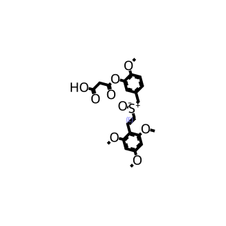 COc1cc(OC)c(/C=C/[S+]([O-])Cc2ccc(OC)c(OC(=O)CC(=O)O)c2)c(OC)c1